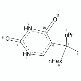 CCCCCCC(C)(CCC)c1c[nH]c(=O)[nH]c1=O